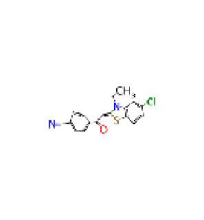 CCN1/C(=C/C(=O)c2ccc(C#N)cc2)Sc2ccc(Cl)cc21